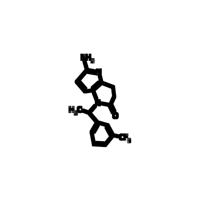 CC(c1cccc(C(F)(F)F)c1)N1C(=O)CCc2nc(N)ccc21